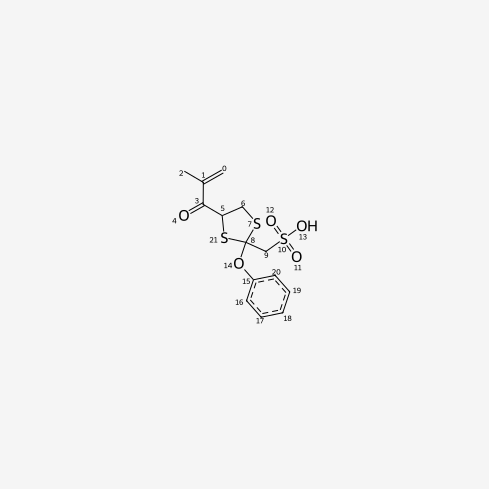 C=C(C)C(=O)C1CSC(CS(=O)(=O)O)(Oc2ccccc2)S1